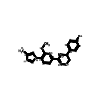 COc1nc(C2=NOCC(c3ccc(F)cc3)N2)ccc1-n1cnc(C)c1